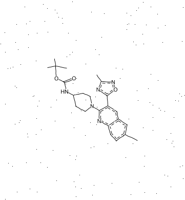 Cc1ccc2nc(N3CCC(NC(=O)OC(C)(C)C)CC3)c(-c3nc(C)no3)cc2c1